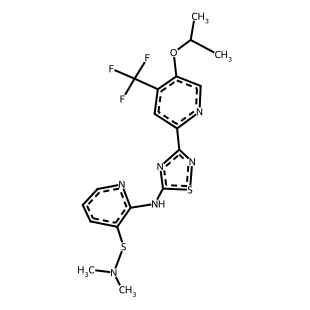 CC(C)Oc1cnc(-c2nsc(Nc3ncccc3SN(C)C)n2)cc1C(F)(F)F